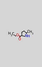 CCOC(=O)C1CCC(C)NC1